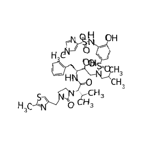 Cc1nc(CN2CCN([C@H](C(=O)N[C@@H](Cc3ccccc3)[C@@H](O)CN(CC(C)C)S(=O)(=O)c3ccc(O)c(NS(=O)(=O)c4cn(C)cn4)c3)C(C)C)C2=O)cs1